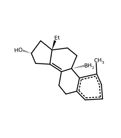 B[C@@]12CC[C@@]3(CC)C[C@@H](O)CC3=C1CCc1cccc(C)c12